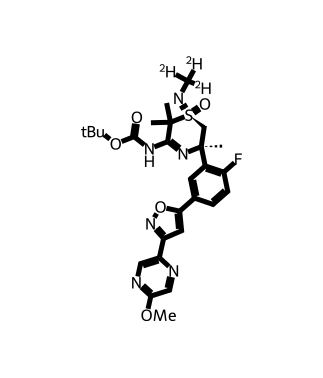 [2H]C([2H])([2H])N=[S@@]1(=O)C[C@@](C)(c2cc(-c3cc(-c4cnc(OC)cn4)no3)ccc2F)N=C(NC(=O)OC(C)(C)C)C1(C)C